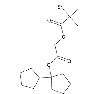 CCC(C)(C)C(=O)OCC(=O)OC1(C2CCCC2)CCCC1